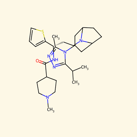 Cc1nnc(C(C)C)n1C1CC2CCC(C1)N2CC[C@H](NC(=O)C1CCN(C)CC1)c1cccs1